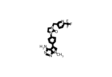 Cn1cc(-c2ccc(N3CCN(Cc4ccc(C(F)(F)F)nc4)C3=O)cc2)c2c(N)ncnc21